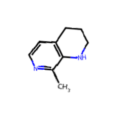 Cc1nccc2c1NCCC2